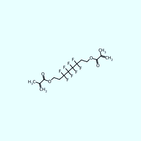 C=C(C)C(=O)OCCC(F)(F)C(F)(F)C(F)(F)C(F)(F)CCOC(=O)C(=C)C